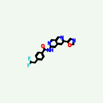 O=C(Nc1cc2cc(-c3cnco3)ncc2cn1)c1ccc(CC(F)F)cc1